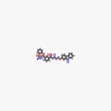 CNS(=O)(=O)c1ccccc1OCc1cccc(C(O)CNCCOc2ccc3c(c2)[nH]c2ccccc23)c1